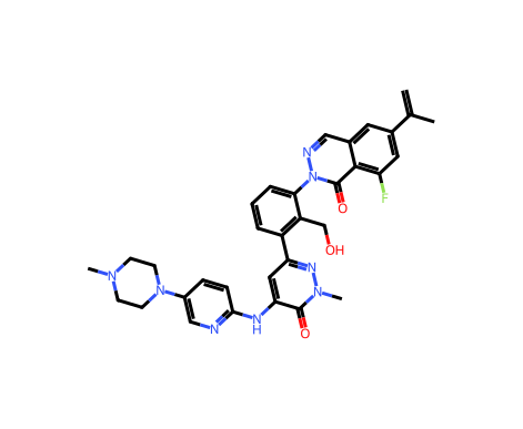 C=C(C)c1cc(F)c2c(=O)n(-c3cccc(-c4cc(Nc5ccc(N6CCN(C)CC6)cn5)c(=O)n(C)n4)c3CO)ncc2c1